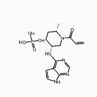 C=CC(=O)N1C[C@H](Nc2ncnc3[nH]ccc23)CC[C@@H]1C.O=P(O)(O)O